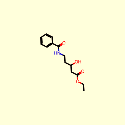 CCOC(=O)CC(O)CCNC(=O)c1ccccc1